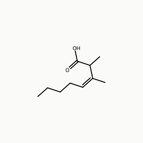 CCCCC=C(C)C(C)C(=O)O